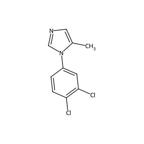 Cc1cncn1-c1ccc(Cl)c(Cl)c1